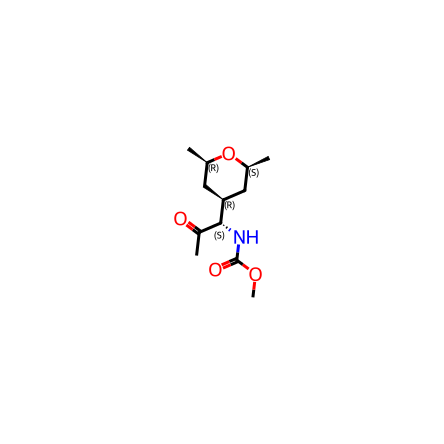 COC(=O)N[C@H](C(C)=O)[C@H]1C[C@@H](C)O[C@@H](C)C1